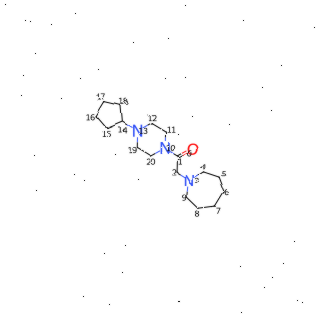 O=C(CN1CCCCCC1)N1CCN(C2CCCC2)CC1